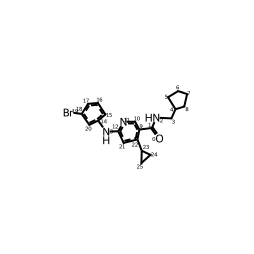 O=C(NCC1CCCC1)c1cnc(Nc2cccc(Br)c2)cc1C1CC1